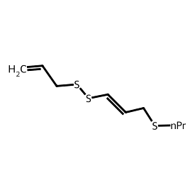 C=CCSSC=CCSCCC